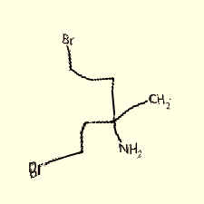 [CH2]C(N)(CCBr)CCBr